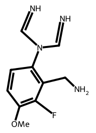 COc1ccc(N(C=N)C=N)c(CN)c1F